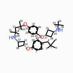 CC(C)(C)Cc1ccc(O[C@H]2C[C@H](NC(C)(C)CC(C)(C)Oc3ccc(O[C@H]4C[C@H](NC(C)(C)C)C4)cc3)C2)cc1